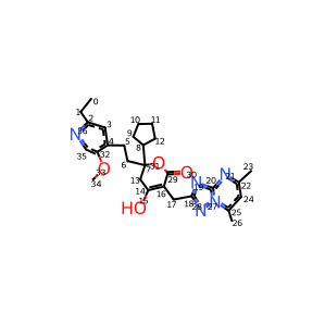 CCc1cc(CCC2(C3CCCC3)CC(O)=C(Cc3nc4nc(C)cc(C)n4n3)C(=O)O2)c(OC)cn1